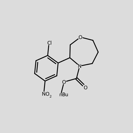 CCCCOC(=O)N1CCCOCC1c1cc([N+](=O)[O-])ccc1Cl